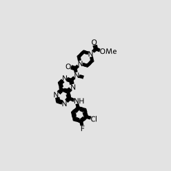 COC(=O)N1CCN(C(=O)N(C)c2ncc3ncnc(Nc4ccc(F)c(Cl)c4)c3n2)CC1